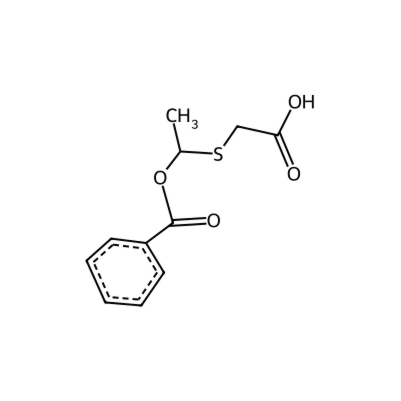 CC(OC(=O)c1ccccc1)SCC(=O)O